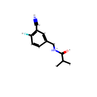 CC(C)C(=O)NCc1ccc(F)c(C#N)c1